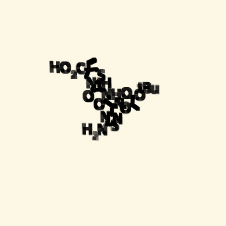 C=CC1(C(=O)O)CS[C@@H]2C(NC(=O)C(=NOC(C)C(=O)OC(C)(C)C)c3nsc(N)n3)C(=O)N2C1